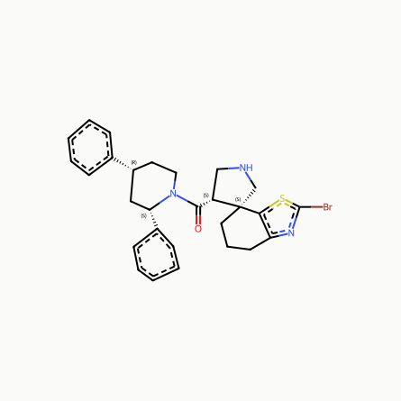 O=C([C@@H]1CNC[C@]12CCCc1nc(Br)sc12)N1CC[C@@H](c2ccccc2)C[C@H]1c1ccccc1